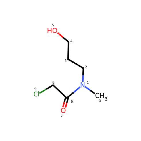 CN(CCCO)C(=O)CCl